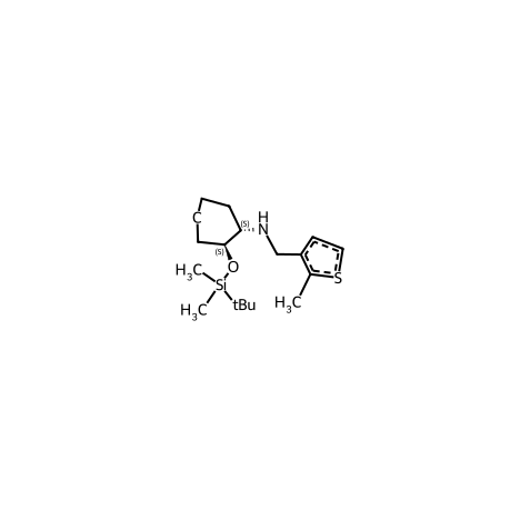 Cc1sccc1CN[C@H]1CCCC[C@@H]1O[Si](C)(C)C(C)(C)C